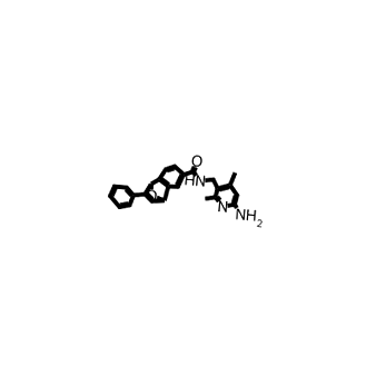 Cc1cc(N)nc(C)c1CNC(=O)c1ccc2c(c1)C1C=C(c3ccccc3)C2O1